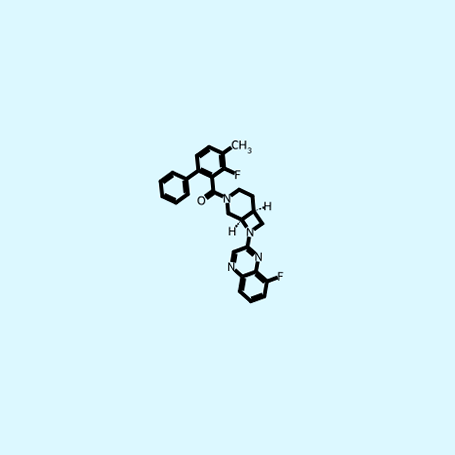 Cc1ccc(-c2ccccc2)c(C(=O)N2CC[C@H]3CN(c4cnc5cccc(F)c5n4)[C@H]3C2)c1F